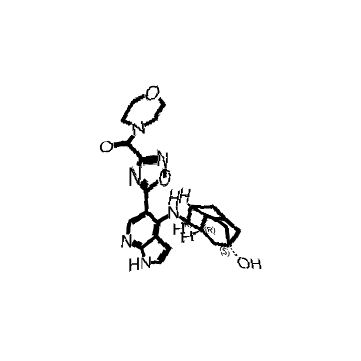 O=C(c1noc(-c2cnc3[nH]ccc3c2N[C@H]2[C@@H]3CC4C[C@H]2C[C@@](O)(C4)C3)n1)N1CCOCC1